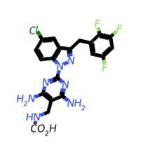 Nc1nc(-n2nc(Cc3cc(F)cc(F)c3F)c3cc(Cl)ccc32)nc(N)c1CNC(=O)O